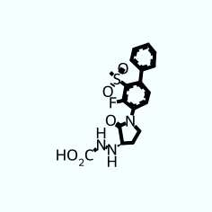 CS(=O)(=O)c1c(-c2ccccc2)ccc(N2CC[C@H](NNC(=O)O)C2=O)c1F